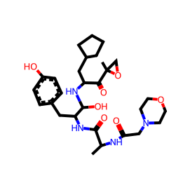 CC(NC(=O)CN1CCOCC1)C(=O)NC(Cc1ccc(O)cc1)C(O)NC(CC1CCCC1)C(=O)C1(C)CO1